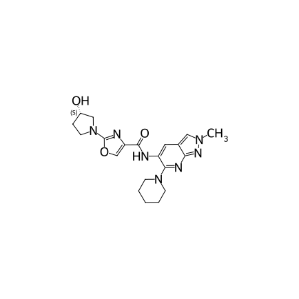 Cn1cc2cc(NC(=O)c3coc(N4CC[C@H](O)C4)n3)c(N3CCCCC3)nc2n1